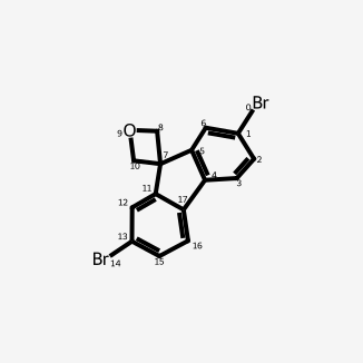 Brc1ccc2c(c1)C1(COC1)c1cc(Br)ccc1-2